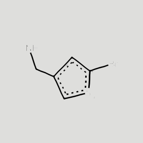 NCc1csc(Br)c1